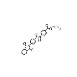 CCOC(=O)c1ccc(NC(=O)c2ccc(N3C(=O)c4ccccc4C3=O)cc2)cc1